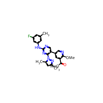 COC(=O)c1cc(-c2cnc(Nc3cc(C)cc(F)c3)nc2-n2nc(C(F)(F)F)cc2C)cnc1OC